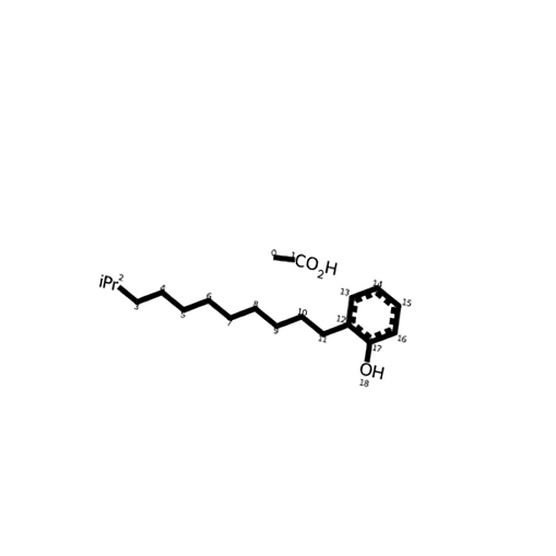 CC(=O)O.CC(C)CCCCCCCCCc1ccccc1O